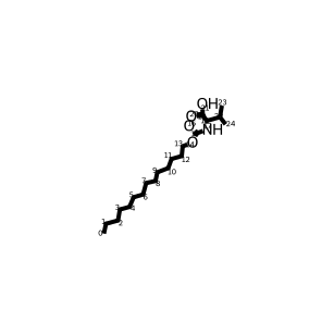 CCCCCCCCCCCCCCOC(=O)N[C@H](C(=O)O)C(C)C